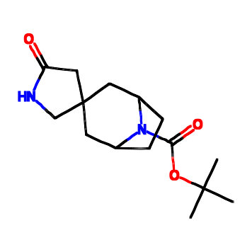 CC(C)(C)OC(=O)N1C2CCC1CC1(CNC(=O)C1)C2